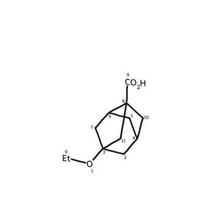 CCOC12CC3CC(C1)C(C(=O)O)(C3)C2